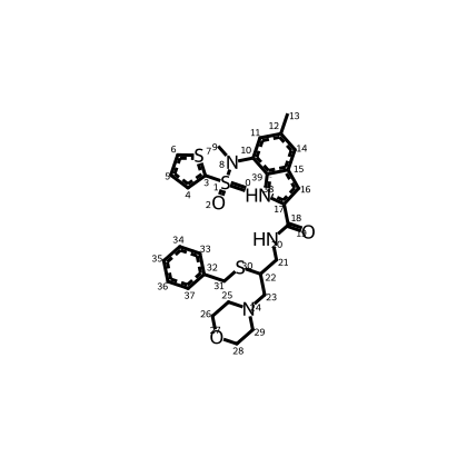 C=S(=O)(c1cccs1)N(C)c1cc(C)cc2cc(C(=O)NCC(CN3CCOCC3)SCc3ccccc3)[nH]c12